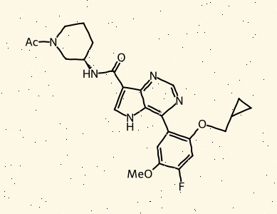 COc1cc(-c2ncnc3c(C(=O)N[C@@H]4CCCN(C(C)=O)C4)c[nH]c23)c(OCC2CC2)cc1F